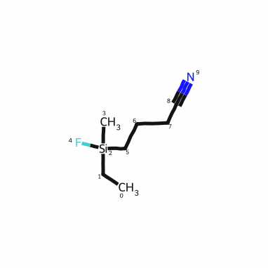 CC[Si](C)(F)CCCC#N